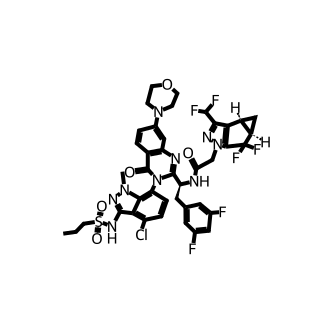 CCCS(=O)(=O)Nc1nn(C)c2c(-n3c([C@H](Cc4cc(F)cc(F)c4)NC(=O)Cn4nc(C(F)F)c5c4C(F)(F)[C@@H]4C[C@H]54)nc4cc(N5CCOCC5)ccc4c3=O)ccc(Cl)c12